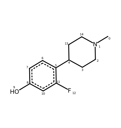 CN1CCC(c2ccc(O)cc2F)CC1